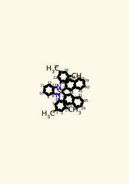 Cc1cc(C)cc(N2c3ccccc3N(c3cc(C)cc(C)c3)[Si]2(c2ccc3ccccc3c2)c2ccc3ccccc3c2)c1